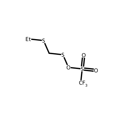 CCSCSOS(=O)(=O)C(F)(F)F